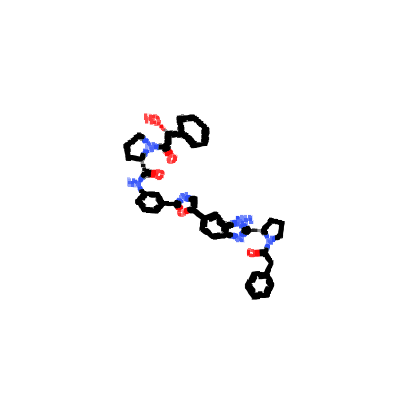 O=C(Nc1cccc(-c2ncc(-c3ccc4nc([C@@H]5CCCN5C(=O)Cc5ccccc5)[nH]c4c3)o2)c1)[C@@H]1CCCN1C(=O)[C@H](O)C1=CC=CCC1